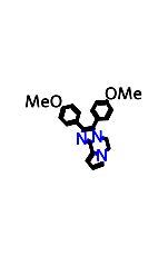 COc1ccc(-c2nc3n(c2-c2ccc(OC)cc2)CCn2cccc2-3)cc1